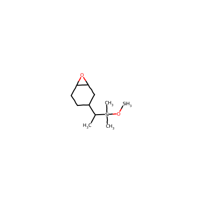 CC(C1CCC2OC2C1)[Si](C)(C)O[SiH3]